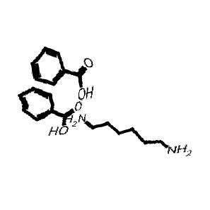 NCCCCCCN.O=C(O)c1ccccc1.O=C(O)c1ccccc1